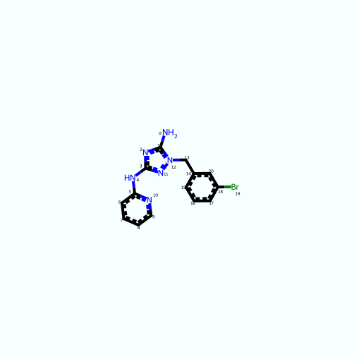 Nc1nc(Nc2ccccn2)nn1Cc1cccc(Br)c1